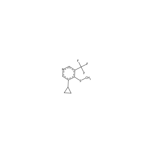 CSc1c(C2CC2)cncc1C(F)(F)F